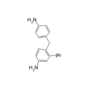 CC(C)c1cc(N)ccc1Cc1ccc(N)cc1